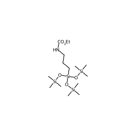 CCOC(=O)NCCC[Si](O[Si](C)(C)C)(O[Si](C)(C)C)O[Si](C)(C)C